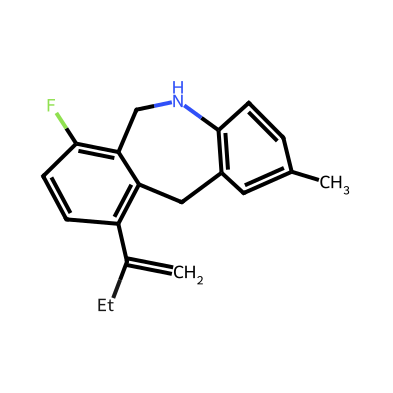 C=C(CC)c1ccc(F)c2c1Cc1cc(C)ccc1NC2